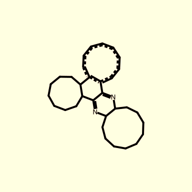 c1ccccc2c(ccc1)C1=NC3CCCCCCCCCC3N=C1C1CCCCCCCC21